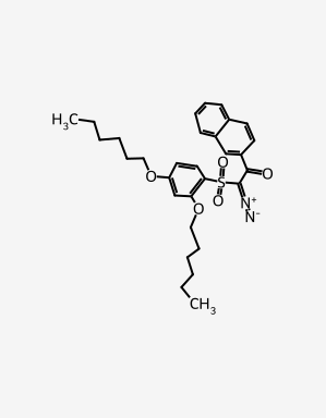 CCCCCCOc1ccc(S(=O)(=O)C(=[N+]=[N-])C(=O)c2ccc3ccccc3c2)c(OCCCCCC)c1